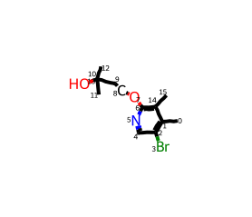 Cc1c(Br)cnc(OCCC(C)(C)O)c1C